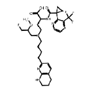 COC(CF)CN(CCCCc1ccc2c(n1)NCCC2)CCC(NC(=O)C1(c2nccnc2C(F)(F)F)CC1)C(=O)O